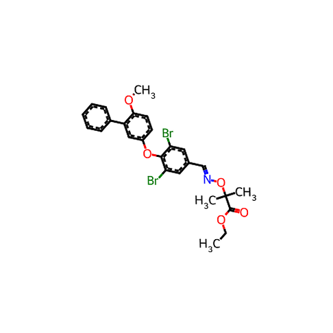 CCOC(=O)C(C)(C)O/N=C/c1cc(Br)c(Oc2ccc(OC)c(-c3ccccc3)c2)c(Br)c1